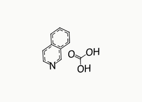 O=C(O)O.c1ccc2cnccc2c1